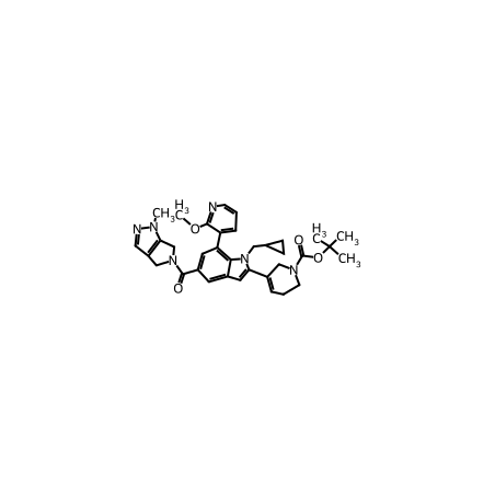 COc1ncccc1-c1cc(C(=O)N2Cc3cnn(C)c3C2)cc2cc(C3=CCCN(C(=O)OC(C)(C)C)C3)n(CC3CC3)c12